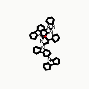 c1ccc(-n2c3ccccc3n3c4ccccc4nc23)c(-c2cc(-n3c4ccccc4c4ccccc43)nc(-n3c4ccccc4c4cc(-n5c6ccccc6c6ccccc65)ccc43)c2)c1